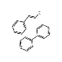 ClC=Cc1ccccc1.c1ccc(-c2ccccc2)cc1